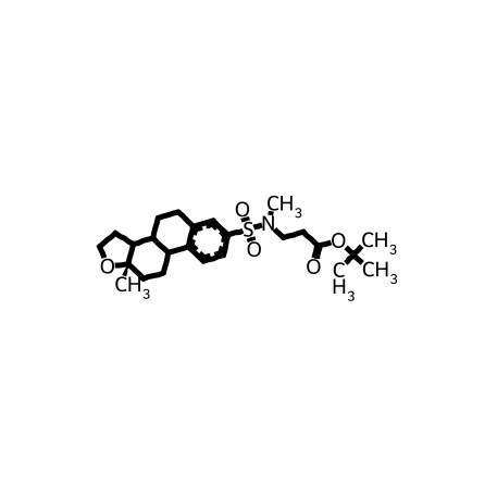 CN(CCC(=O)OC(C)(C)C)S(=O)(=O)c1ccc2c(c1)CCC1C2CC[C@]2(C)OCCC12